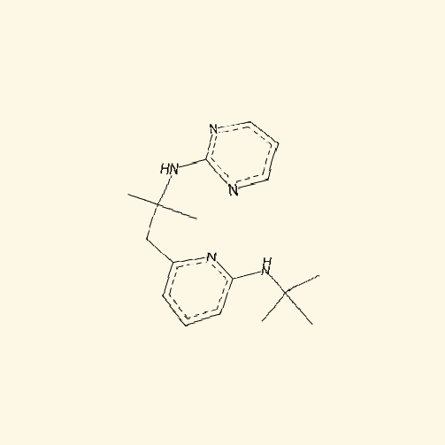 CC(C)(C)Nc1cccc(CC(C)(C)Nc2ncccn2)n1